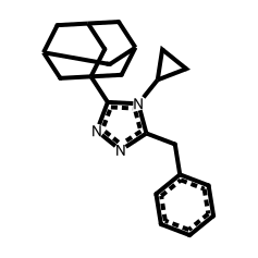 c1ccc(Cc2nnc(C34CC5CC(CC(C5)C3)C4)n2C2CC2)cc1